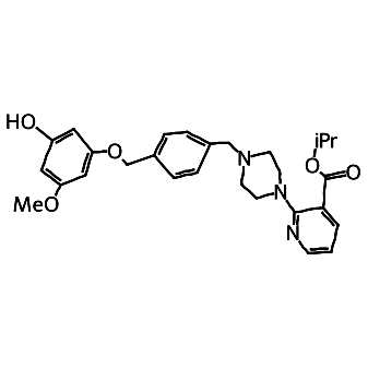 COc1cc(O)cc(OCc2ccc(CN3CCN(c4ncccc4C(=O)OC(C)C)CC3)cc2)c1